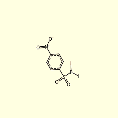 O=[N+]([O-])c1ccc(S(=O)(=O)P(I)I)cc1